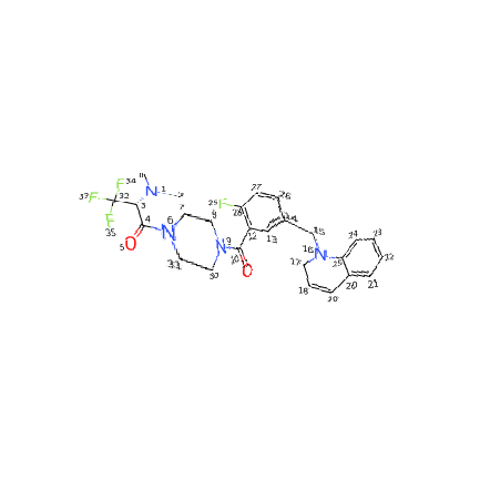 CN(C)[C@H](C(=O)N1CCN(C(=O)c2cc(CN3CC=Cc4ccccc43)ccc2F)CC1)C(F)(F)F